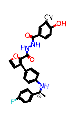 C[C@H](Nc1ccc(-c2ccoc2C(=O)NNC(=O)c2ccc(O)c(C#N)c2)cc1)c1ccc(F)cc1